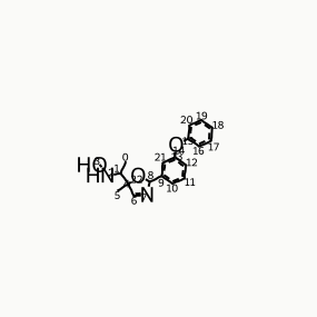 CC(NO)C1(C)C=NC(c2cccc(Oc3ccccc3)c2)O1